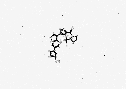 Cn1cc(-c2cnc3c(-c4csc(C(=O)N5CCCC5C(F)(F)F)c4)cnn3c2)cn1